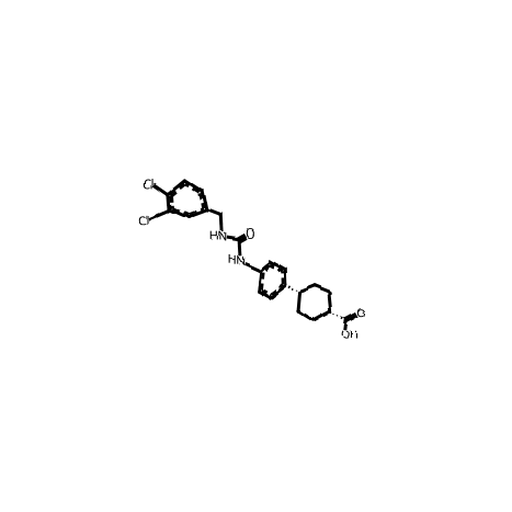 O=C(NCc1ccc(Cl)c(Cl)c1)Nc1ccc([C@H]2CC[C@@H](C(=O)O)CC2)cc1